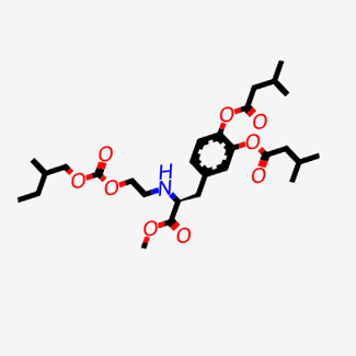 CCC(C)COC(=O)OCCN[C@@H](Cc1ccc(OC(=O)CC(C)C)c(OC(=O)CC(C)C)c1)C(=O)OC